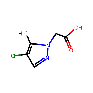 Cc1c(Cl)cnn1CC(=O)O